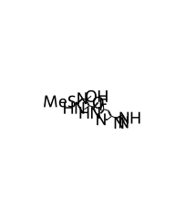 CSC1=NC(O)=C(C(=O)Nc2ncc(-c3c[nH]nn3)cc2F)CN1